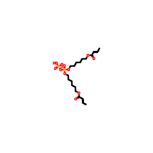 CC=CC(=O)OCCCCCCOP(=O)(OCCCCCCOC(=O)C=CC)OP(=O)(O)O